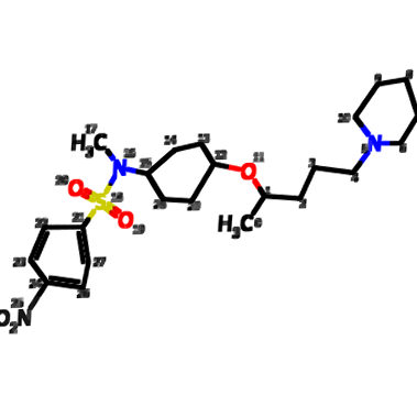 CC(CCCN1CCCCC1)OC1CCC(N(C)S(=O)(=O)c2ccc([N+](=O)[O-])cc2)CC1